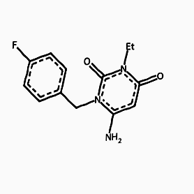 CCn1c(=O)cc(N)n(Cc2ccc(F)cc2)c1=O